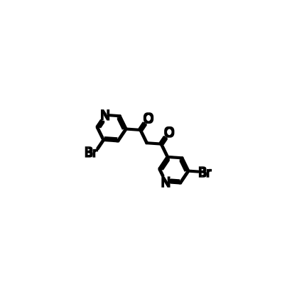 O=C(CC(=O)c1cncc(Br)c1)c1cncc(Br)c1